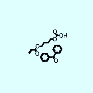 C=CC(=O)OCCCCOC(=O)O.O=C(c1ccccc1)c1ccccc1